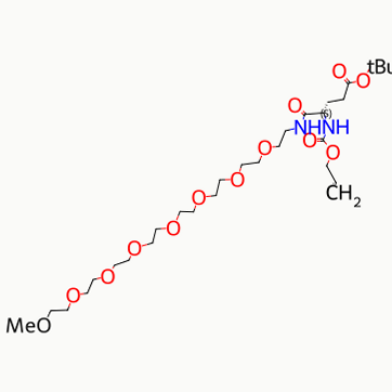 C=CCOC(=O)N[C@@H](CCC(=O)OC(C)(C)C)C(=O)NCCOCCOCCOCCOCCOCCOCCOCCOC